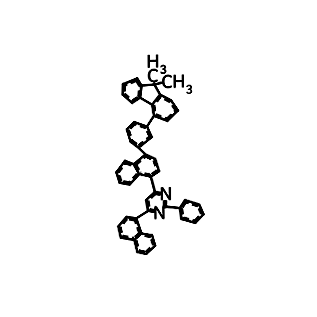 CC1(C)c2ccccc2-c2c(-c3cccc(-c4ccc(-c5cc(-c6cccc7ccccc67)nc(-c6ccccc6)n5)c5ccccc45)c3)cccc21